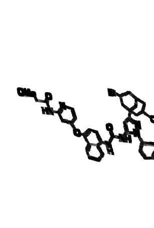 CCC1CC2CC(C)CC(c3cc(NC(=O)Nc4ccc(Oc5ccnc(NC(=O)COC)c5)c5ccccc45)n(-c4ccc(C)cc4)n3)(C1)C2